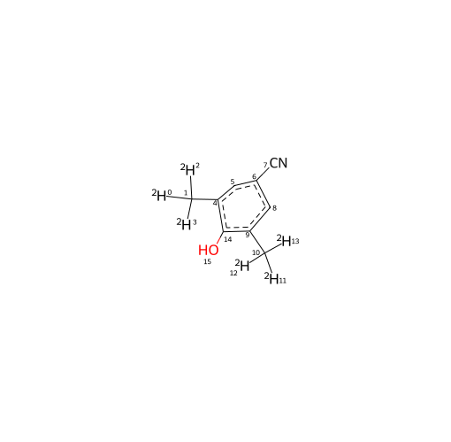 [2H]C([2H])([2H])c1cc(C#N)cc(C([2H])([2H])[2H])c1O